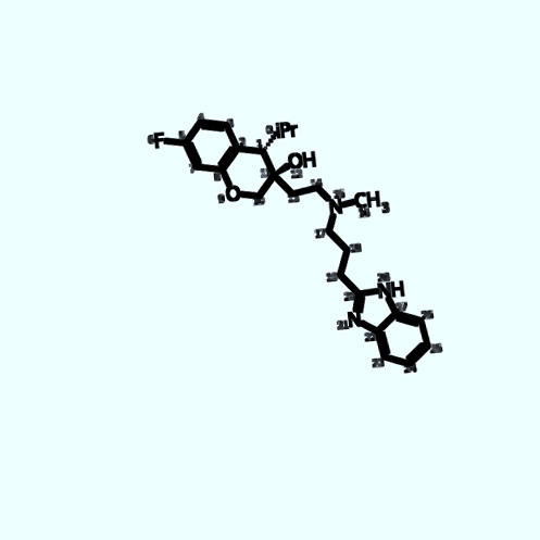 CC(C)[C@H]1c2ccc(F)cc2OC[C@@]1(O)CCN(C)CCCc1nc2ccccc2[nH]1